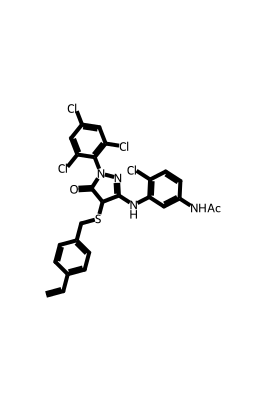 C=Cc1ccc(CSC2C(=O)N(c3c(Cl)cc(Cl)cc3Cl)N=C2Nc2cc(NC(C)=O)ccc2Cl)cc1